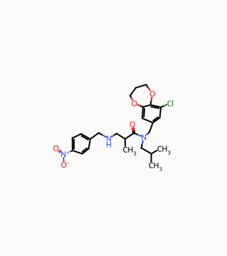 CC(C)CN(Cc1cc(Cl)c2c(c1)OCCCO2)C(=O)C(C)CNCc1ccc([N+](=O)[O-])cc1